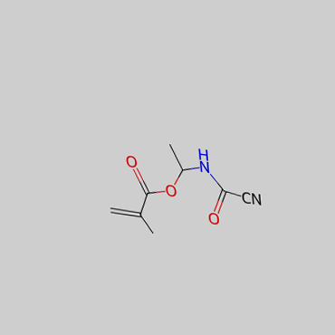 C=C(C)C(=O)OC(C)NC(=O)C#N